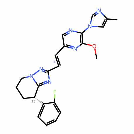 COc1nc(/C=C/c2nc3n(n2)CCC[C@H]3c2ccccc2F)cnc1-n1cnc(C)c1